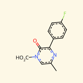 Cc1cn(C(=O)O)c(=O)c(-c2ccc(F)cc2)n1